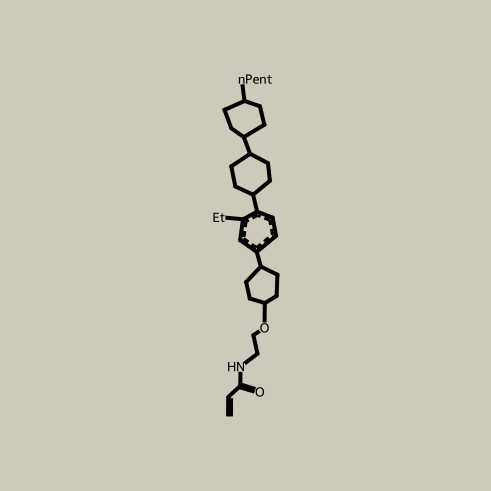 C=CC(=O)NCCOC1CCC(c2ccc(C3CCC(C4CCC(CCCCC)CC4)CC3)c(CC)c2)CC1